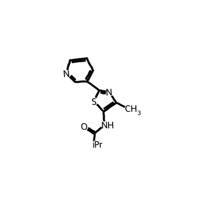 Cc1nc(-c2cccnc2)sc1NC(=O)C(C)C